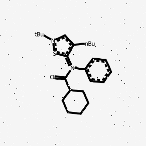 CCCCc1cn(C(C)(C)C)s/c1=[N+](\C(=O)C1CCCCC1)c1ccccc1